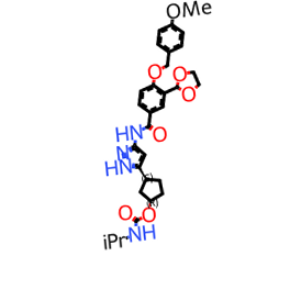 COc1ccc(COc2ccc(C(=O)Nc3cc([C@H]4CC[C@@H](OC(=O)NC(C)C)C4)[nH]n3)cc2C2OCCO2)cc1